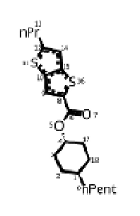 CCCCC[C@H]1CC[C@H](OC(=O)c2cc3sc(CCC)cc3s2)CC1